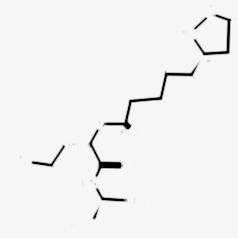 C[C@H](NC(=O)[C@H](CCC(=O)O)NC(=O)CCCC[C@@H]1CCSS1)C(=O)O